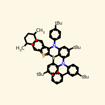 CC(C)(C)c1ccc(N2c3cc(C(C)(C)C)cc4c3B(c3cc(C(C)(C)C)ccc3N4c3ccc(C(C)(C)C)cc3-c3ccccc3)c3sc4cc5c(cc4c32)C2(C)CCC5(C)CC2)cc1